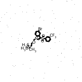 C[Si](C)(C)CCOCn1cc(S(=O)(=O)c2cccc(C(F)(F)F)c2)c2cc(Br)ccc21